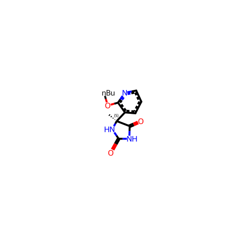 CCCCOc1ncccc1[C@]1(C)NC(=O)NC1=O